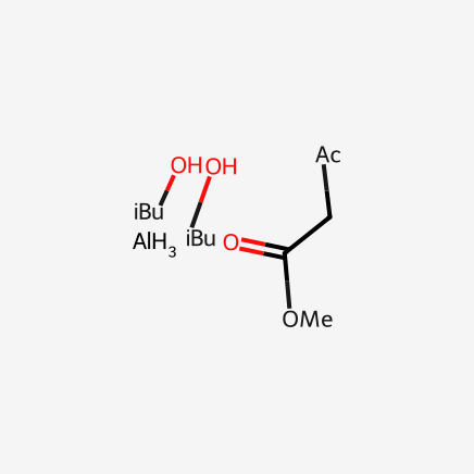 CCC(C)O.CCC(C)O.COC(=O)CC(C)=O.[AlH3]